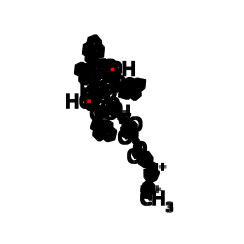 C[n+]1ccc(-c2cc[n+](Cc3ccc(C(=O)OCCCCN4C(=O)CC(SCCCOP(=O)(O)O[C@@H]5C[C@H](c6ccc7ccc8cccc9ccc6c7c89)O[C@@H]5COP(=O)(O)O[C@@H]5C[C@H](c6ccc7ccc8cccc9ccc6c7c89)O[C@@H]5COP(=O)(O)O[C@@H]5C[C@H](c6ccc7ccc8cccc9ccc6c7c89)O[C@@H]5COP(=O)(O)O[C@@H]5C[C@H](c6ccc7ccc8cccc9ccc6c7c89)O[C@@H]5CO)C4=O)cc3)cc2)cc1